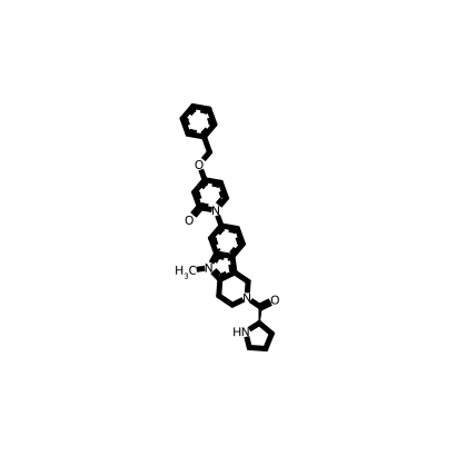 Cn1c2c(c3ccc(-n4ccc(OCc5ccccc5)cc4=O)cc31)CN(C(=O)[C@H]1CCCN1)CC2